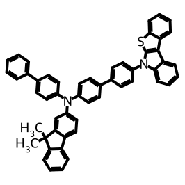 CC1(C)c2ccccc2-c2ccc(N(c3ccc(-c4ccccc4)cc3)c3ccc(-c4ccc(-n5c6ccccc6c6c7ccccc7sc65)cc4)cc3)cc21